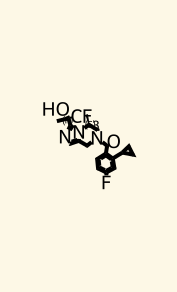 C[C@H]1CN(C(=O)c2ccc(F)cc2C2CC2)Cc2cnc([C@@](C)(O)C(F)(F)F)n21